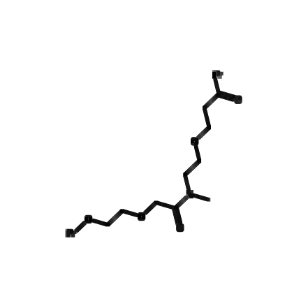 CC(C)OCCOCC(=O)N(C)CCOCCC(=O)C(C)C